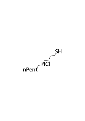 CCCCCCCCCCCS.Cl